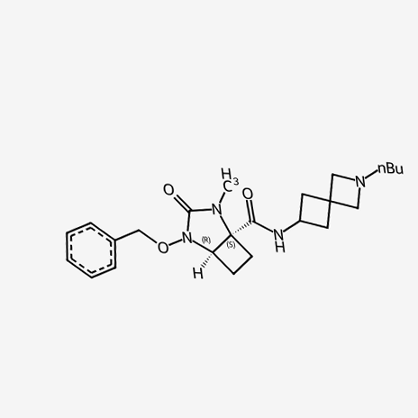 CCCCN1CC2(CC(NC(=O)[C@]34CC[C@H]3N(OCc3ccccc3)C(=O)N4C)C2)C1